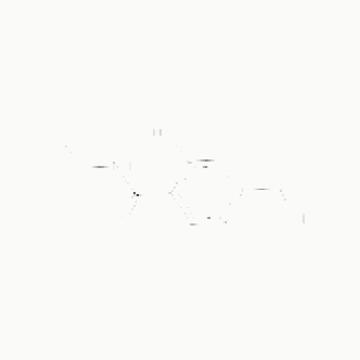 CNc1ccc(C(=O)NOC)c(O)c1